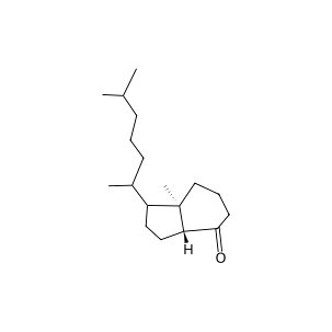 CC(C)CCCC(C)C1CC[C@H]2C(=O)CCC[C@]12C